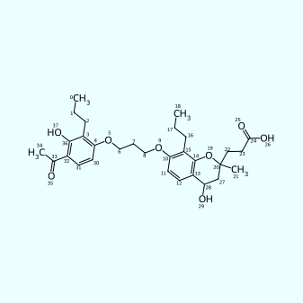 CCCc1c(OCCCOc2ccc3c(c2CCC)OC(C)(CCC(=O)O)CC3O)ccc(C(C)=O)c1O